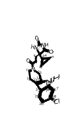 O=C1NC(=O)[C@](CCC(=O)N2CCc3c([nH]c4cc(Cl)ccc34)C2)(C2CC2)N1